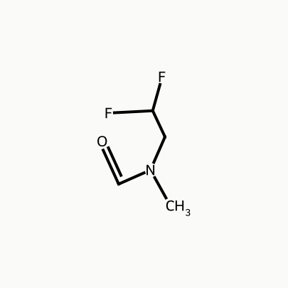 CN(C=O)CC(F)F